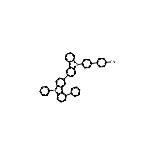 N#Cc1ccc(-c2ccc(-n3c4ccccc4c4cc(-c5ccc6c(c5)c5c(-c7ccccc7)cccc5n6-c5ccccc5)ccc43)cc2)cc1